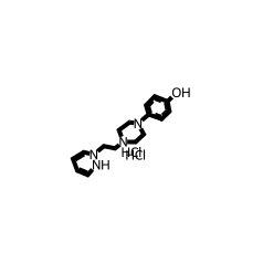 Cl.Cl.Oc1ccc(N2CCN(CCN3C=CC=CN3)CC2)cc1